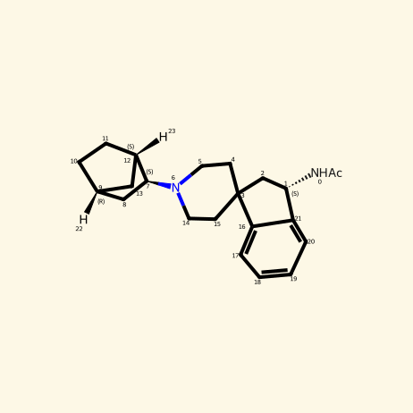 CC(=O)N[C@H]1CC2(CCN([C@H]3C[C@@H]4CC[C@H]3C4)CC2)c2ccccc21